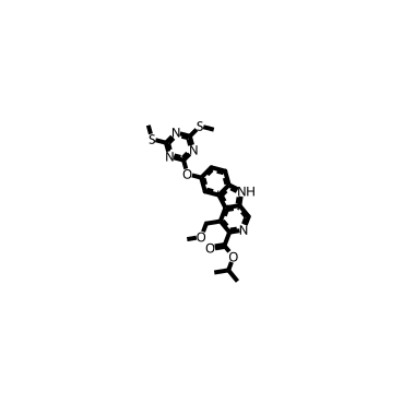 COCc1c(C(=O)OC(C)C)ncc2[nH]c3ccc(Oc4nc(SC)nc(SC)n4)cc3c12